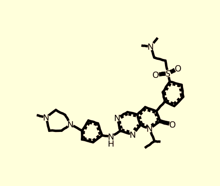 CC(C)n1c(=O)c(-c2cccc(S(=O)(=O)CCN(C)C)c2)cc2cnc(Nc3ccc(N4CCN(C)CC4)cc3)nc21